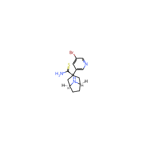 NC(=S)[C@@]1(c2cncc(Br)c2)C[C@H]2CC[C@@H](C1)N2